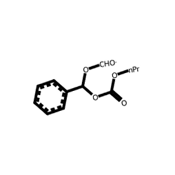 CCCOC(=O)OC(O[C]=O)c1ccccc1